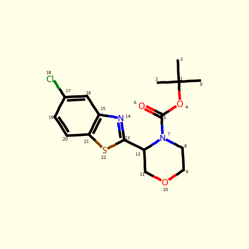 CC(C)(C)OC(=O)N1CCOCC1c1nc2cc(Cl)ccc2s1